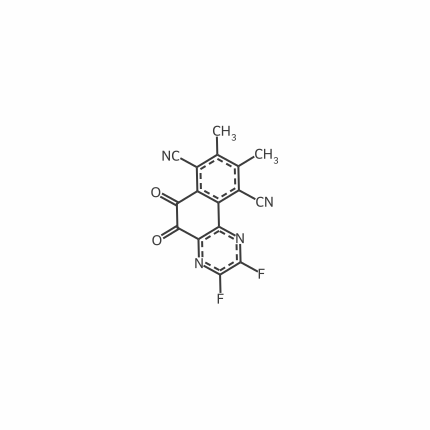 Cc1c(C)c(C#N)c2c(c1C#N)C(=O)C(=O)c1nc(F)c(F)nc1-2